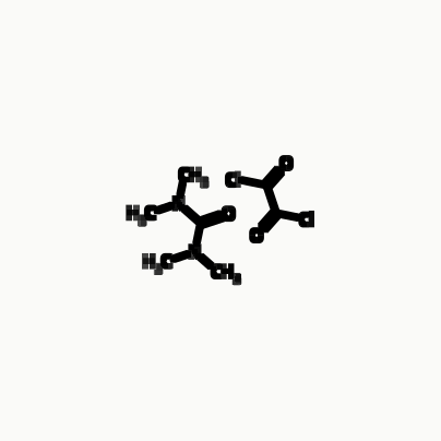 CN(C)C(=O)N(C)C.O=C(Cl)C(=O)Cl